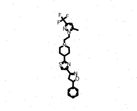 Cc1cc(C(F)(F)F)nn1CCN1CCC(c2nc(C3=NOC(c4ccccc4)C3)cs2)CC1